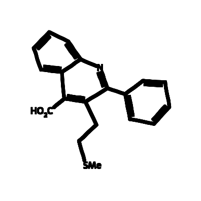 CSCCc1c(-c2ccccc2)nc2ccccc2c1C(=O)O